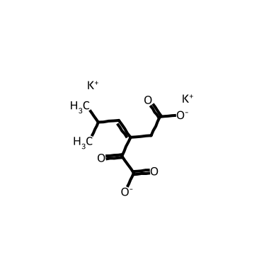 CC(C)C=C(CC(=O)[O-])C(=O)C(=O)[O-].[K+].[K+]